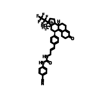 C[C@]12C[C@H](c3ccc(/C=C/CNC(=O)Nc4ccc(C#N)cc4)cc3)C3=C4CCC(=O)C=C4CC[C@H]3[C@@H]1CC[C@@]2(O)C(F)(F)C(F)(F)F